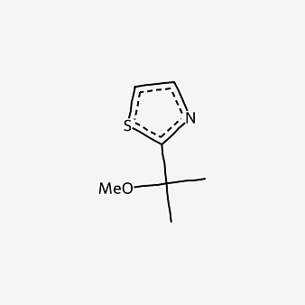 COC(C)(C)c1nccs1